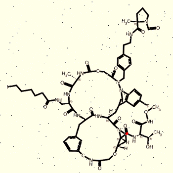 CONC(=O)[C@@H](NC(=O)[C@@H]1[C@@H]2CCN1C(=O)[C@@H]1Cc3cn(c4ccc(F)cc34)N(Cc3ccc(CCNC(=O)[C@]4(C)CCCN4C=O)cc3)C(=O)CCC(=O)N[C@@H](C)C(=O)N[C@H](CNC(=O)CCCCCI)C(=O)NC(Cc3cccc(c3)CNC(=O)CO2)C(=O)N1)[C@@H](C)O